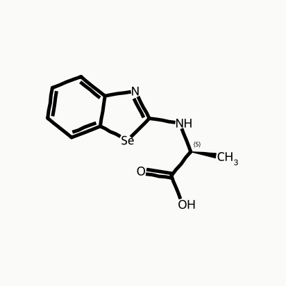 C[C@H](Nc1nc2ccccc2[se]1)C(=O)O